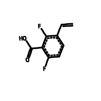 C=Cc1ccc(F)c(C(=O)O)c1F